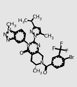 Cc1cc(C(C)C)nn1-c1nc2c(c(=O)n1-c1ccc3c(c1)nnn3C)C[C@@H](C)N(C(=O)c1ccc(Br)c(C(F)(F)F)c1)C2